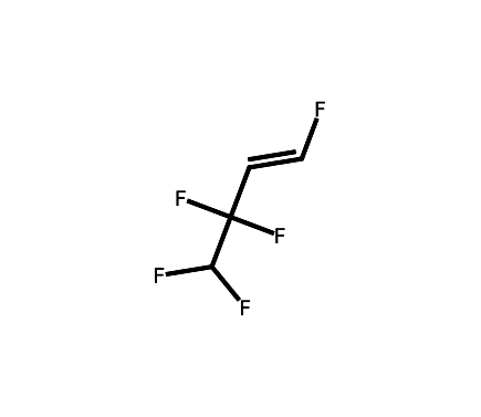 F/C=C/C(F)(F)C(F)F